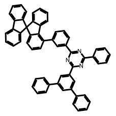 c1ccc(-c2cc(-c3ccccc3)cc(-c3nc(-c4ccccc4)nc(-c4cccc(-c5cccc6c5-c5ccccc5C65c6ccccc6-c6ccccc65)c4)n3)c2)cc1